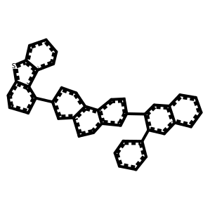 c1ccc(-c2cc3ccccc3cc2-c2ccc3c(ccc4cc(-c5cccc6sc7ccccc7c56)ccc43)c2)cc1